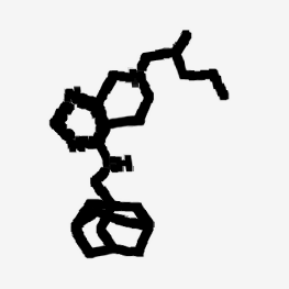 CCCC(C)CN1CCc2c(ncnc2NCC23CC4CC(CC(C4)C2)C3)C1